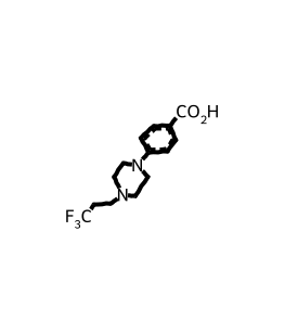 O=C(O)c1ccc(N2CCN(CCC(F)(F)F)CC2)cc1